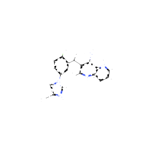 Cc1cn(-c2ccc(F)c(C(C)c3c(C)nc4cccnc4c3N)c2)cn1